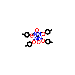 CC1CCC(OCN2C(=O)N(COC3CCC(C)CC3)C3C2N(COC2CCC(C)CC2)C(=O)N3COC2CCC(C)CC2)CC1